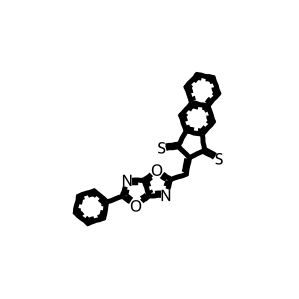 S=C1C(=Cc2nc3oc(-c4ccccc4)nc3o2)C(=S)c2cc3ccccc3cc21